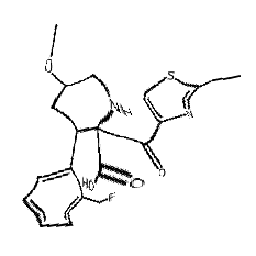 COC1CNC(C(=O)O)(C(=O)c2csc(C)n2)C(c2ccccc2F)C1